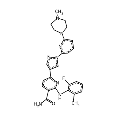 Cc1cccc(F)c1Nc1nc(-c2cnn(-c3cccc(N4CCN(C)CC4)n3)c2)ccc1C(N)=O